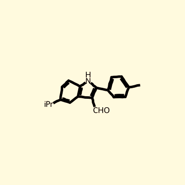 Cc1ccc(-c2[nH]c3ccc(C(C)C)cc3c2C=O)cc1